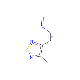 C=N/C=C\c1nsnc1C